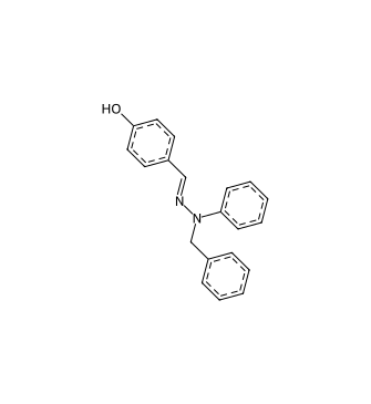 Oc1ccc(C=NN(Cc2ccccc2)c2ccccc2)cc1